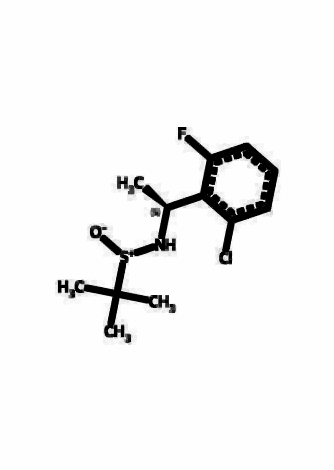 C[C@H](N[S+]([O-])C(C)(C)C)c1c(F)cccc1Cl